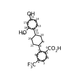 O=C(O)c1ccc(C(F)(F)F)cc1C1CCC(c2ccc(O)cc2O)CC1